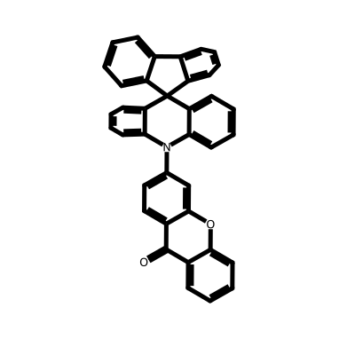 O=c1c2ccccc2oc2cc(N3c4ccccc4C4(c5ccccc5-c5ccccc54)c4ccccc43)ccc12